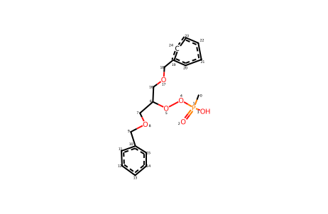 CP(=O)(O)OOC(COCc1ccccc1)COCc1ccccc1